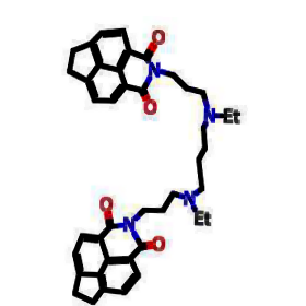 CCN(CCCCN(CC)CCCN1C(=O)c2ccc3c4c(ccc(c24)C1=O)CC3)CCCN1C(=O)c2ccc3c4c(ccc(c24)C1=O)CC3